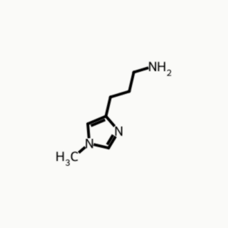 Cn1cnc(CCCN)c1